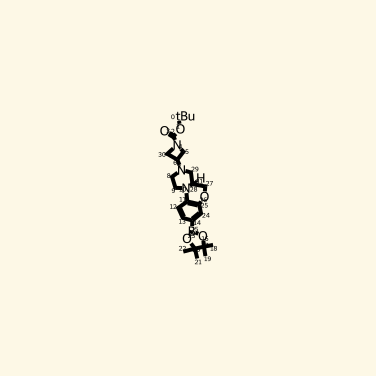 CC(C)(C)OC(=O)N1CC(N2CCN3c4ccc(B5OC(C)(C)C(C)(C)O5)cc4OC[C@H]3C2)C1